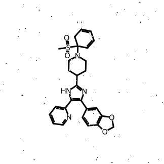 CS(=O)(=O)C1(N2CCC(c3nc(-c4ccc5c(c4)OCO5)c(-c4ccccn4)[nH]3)CC2)C=CC=CC1